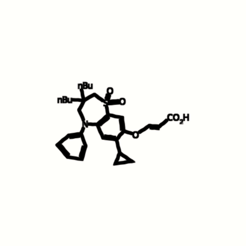 CCCCC1(CCCC)CN(c2ccccc2)c2cc(C3CC3)c(OC=CC(=O)O)cc2S(=O)(=O)C1